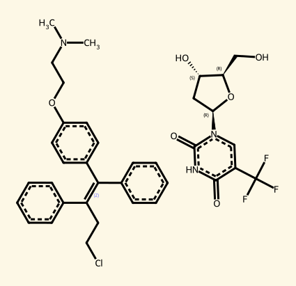 CN(C)CCOc1ccc(/C(=C(/CCCl)c2ccccc2)c2ccccc2)cc1.O=c1[nH]c(=O)n([C@H]2C[C@H](O)[C@@H](CO)O2)cc1C(F)(F)F